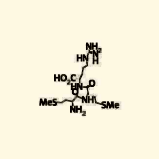 CSCC[C@H](NC(=O)[C@@H](N)CCSC)C(=O)N[C@@H](CCCNC(=N)N)C(=O)O